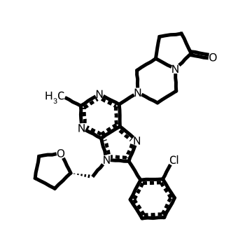 Cc1nc(N2CCN3C(=O)CCC3C2)c2nc(-c3ccccc3Cl)n(C[C@@H]3CCCO3)c2n1